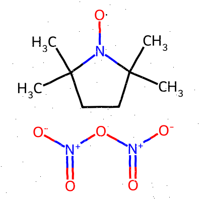 CC1(C)CCC(C)(C)N1[O].O=[N+]([O-])O[N+](=O)[O-]